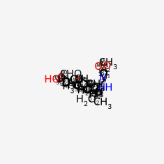 C=C(C)[C@@H]1CC[C@]2(NCCN3CCC(S(C)(=O)=O)CC3)CC[C@]3(C)[C@H](CC[C@@H]4[C@@]5(C)CC=C(C6=CCC(CO)(OC=O)CC6)C(C)(C)[C@@H]5CC[C@]43C)[C@@H]12